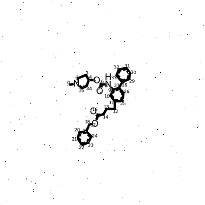 CN1CCC(OC(=O)Nc2cc(CCCC(=O)OCc3ccccc3)ccc2-c2ccccc2)CC1